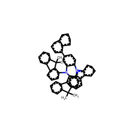 CC1(C)c2ccccc2-c2c(N(c3cc(-c4cccc5ccccc45)ccc3-n3c4ccccc4c4ccccc43)c3cccc4c3C(C)(C)c3ccccc3-4)cccc21